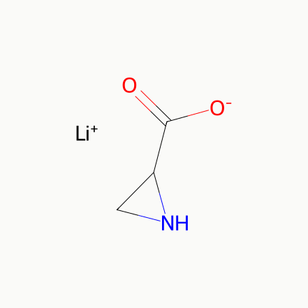 O=C([O-])C1CN1.[Li+]